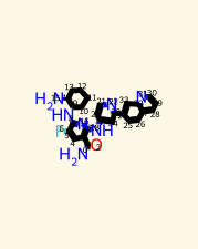 NC(=O)c1cc(F)c(NC2CCCC[C@@H]2N)nc1Nc1ccnc(-c2ccc3cccnc3c2)c1